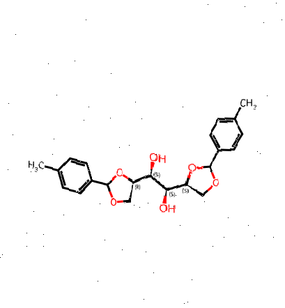 Cc1ccc(C2OC[C@@H]([C@@H](O)[C@H](O)[C@H]3COC(c4ccc(C)cc4)O3)O2)cc1